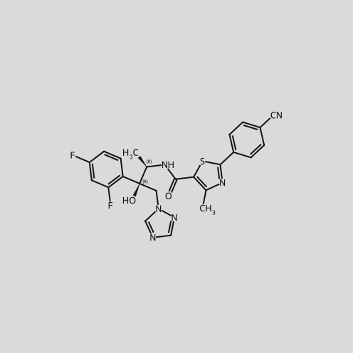 Cc1nc(-c2ccc(C#N)cc2)sc1C(=O)N[C@H](C)[C@](O)(Cn1cncn1)c1ccc(F)cc1F